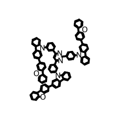 c1cc(-c2cc(-c3cccc(-n4c5ccccc5c5ccc(-c6ccc7c(c6)oc6ccccc67)cc54)c3)nc(-c3ccc(-n4c5ccccc5c5ccc(-c6ccc7c(c6)oc6ccccc67)cc54)cc3)n2)cc(-n2c3ccccc3c3ccc(-c4ccc5c(c4)oc4ccccc45)cc32)c1